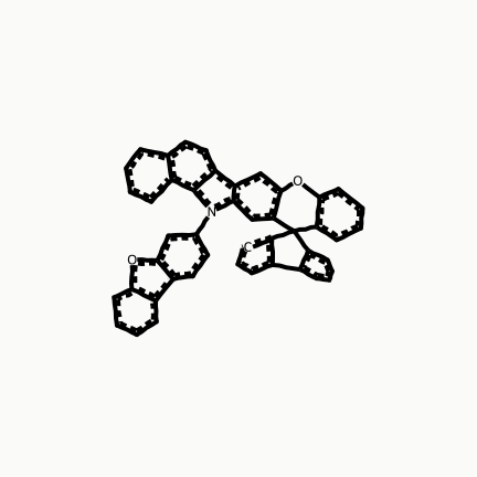 c1ccc2c(c1)Oc1cc3c4ccc5ccccc5c4n(-c4ccc5c(c4)oc4ccccc45)c3cc1C21c2ccccc2-c2ccccc21